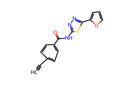 C#Cc1ccc(C(=O)Nc2nnc(-c3ccco3)s2)cc1